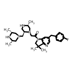 C[C@@H]1CN(CC(=O)N2CC(C)(C)c3ncc(Cc4ccc(F)cc4)cc32)[C@@H](CN2C[C@@H](C)N[C@@H](C)C2)CN1